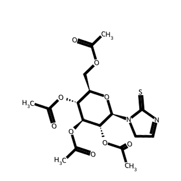 CC(=O)OC[C@H]1O[C@@H](N2CC=NC2=S)[C@H](OC(C)=O)[C@@H](OC(C)=O)[C@@H]1OC(C)=O